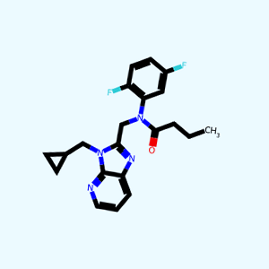 CCCC(=O)N(Cc1nc2cccnc2n1CC1CC1)c1cc(F)ccc1F